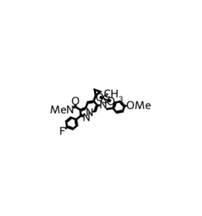 CNC(=O)c1c(-c2ccc(F)cc2)nn2cc(N(Cc3ccc(OC)cc3)S(C)(=O)=O)c(C3CC3)cc12